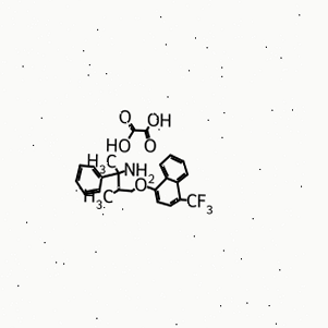 CC(COc1ccc(C(F)(F)F)c2ccccc12)C(C)(N)c1ccccc1.O=C(O)C(=O)O